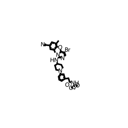 Cc1cc(C#N)cc(C)c1Oc1nc(NC2CCN(c3cccc(CC(=O)NS(C)(=O)=O)c3)CC2)ncc1Br